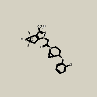 C[C@@H]1[C@@H]2Cc3c(c(C(=O)O)nn3CC(=O)N3CCC(Oc4ccccc4Cl)C4CC43)[C@H]12